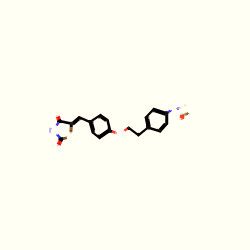 CS(=O)(=O)Nc1ccc(CCOc2ccc(/C=C3\SC(=O)NC3=O)cc2)cc1